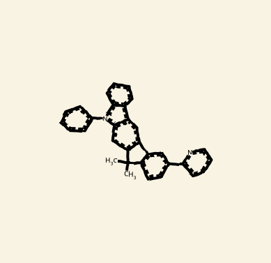 CC1(C)c2ccc(-c3ccccn3)cc2-c2cc3c4ccccc4n(-c4ccccc4)c3cc21